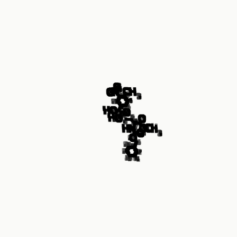 COC(=O)[C@H](CCP(=O)(O)C(O)c1ccc(C)c([N+](=O)[O-])c1)NC(=O)OCc1ccccc1